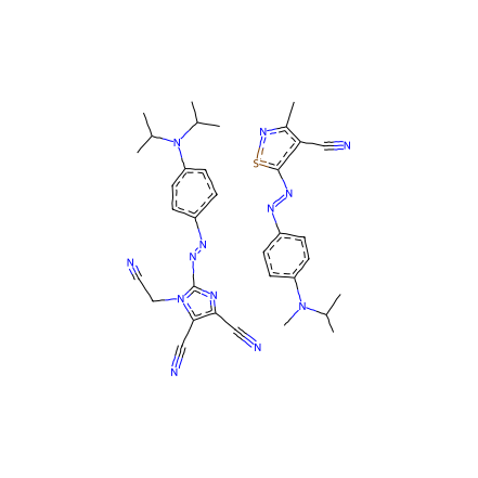 CC(C)N(c1ccc(N=Nc2nc(C#N)c(C#N)n2CC#N)cc1)C(C)C.Cc1nsc(N=Nc2ccc(N(C)C(C)C)cc2)c1C#N